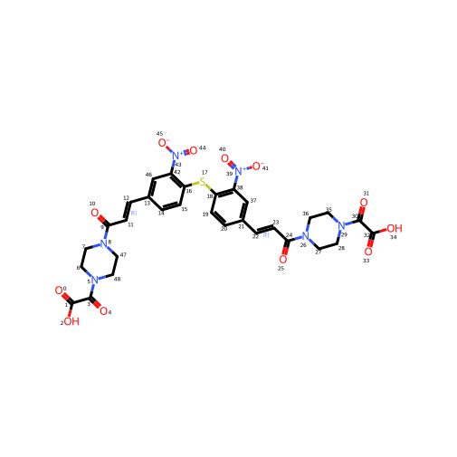 O=C(O)C(=O)N1CCN(C(=O)/C=C/c2ccc(Sc3ccc(/C=C/C(=O)N4CCN(C(=O)C(=O)O)CC4)cc3[N+](=O)[O-])c([N+](=O)[O-])c2)CC1